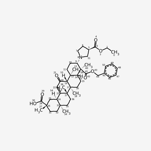 CCOC(=O)[C@@H]1CCN([C@H]2CC[C@@]3(C)[C@@H](CC[C@]4(C)[C@@H]3C(=O)C=C3[C@@H]5C[C@@](C)(C(=O)O)CC[C@]5(C)CC[C@]34C)[C@]2(C)C(=O)OCc2ccccc2)C1